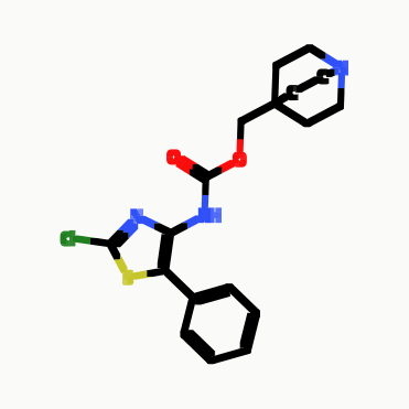 O=C(Nc1nc(Cl)sc1-c1ccccc1)OCC12CCN(CC1)CC2